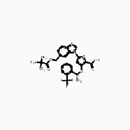 C[C@@H](Oc1cc(-n2cnc3ccc(COC(=O)C(C)(C)C)cc32)sc1C(=O)O)c1ccccc1C(F)(F)F